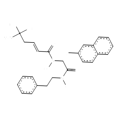 CNC(C)(C)CC=CC(=O)N(C)[C@H](Cc1ccc2ccccc2c1)C(=O)N(C)CCc1ccccc1